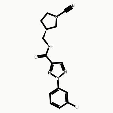 N#CN1CC[C@H](CNC(=O)c2cnn(-c3cccc(Cl)c3)n2)C1